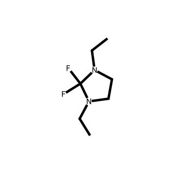 CCN1CCN(CC)C1(F)F